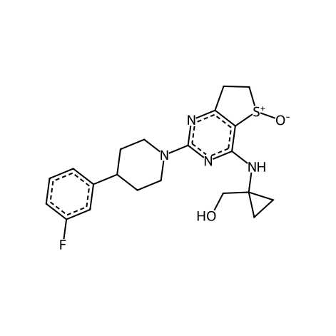 [O-][S+]1CCc2nc(N3CCC(c4cccc(F)c4)CC3)nc(NC3(CO)CC3)c21